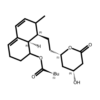 CC[C@H](C)C(=O)OC1CCC=C2C=CC(C)[C@@H](CC[C@H]3C[C@@H](O)CC(=O)O3)[C@H]21